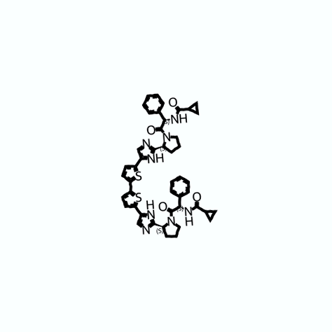 O=C(N[C@H](C(=O)N1CCC[C@H]1c1ncc(-c2ccc(-c3ccc(-c4cnc([C@@H]5CCCN5C(=O)[C@@H](NC(=O)C5CC5)c5ccccc5)[nH]4)s3)s2)[nH]1)c1ccccc1)C1CC1